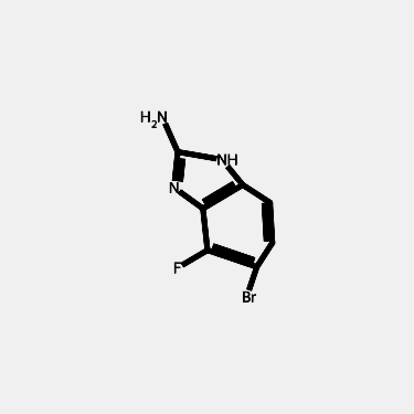 Nc1nc2c(F)c(Br)ccc2[nH]1